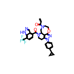 C=CC(=O)N1CCOc2nn(-c3ccc(C4CC4)cc3)c3c2C(C1)N(C(=O)c1ccc(C(F)(F)F)c2[nH]ncc12)CC3